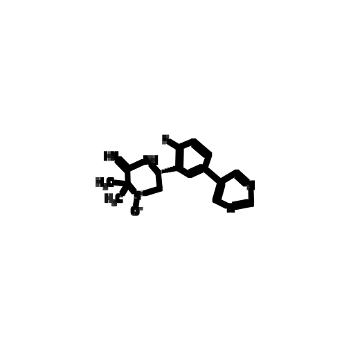 CC1(C)C(=N)N[C@H](c2cc(-c3cncnc3)ccc2F)C[S+]1[O-]